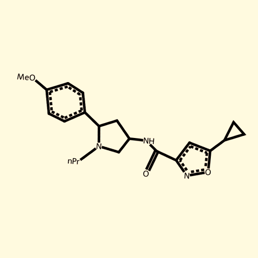 CCCN1CC(NC(=O)c2cc(C3CC3)on2)CC1c1ccc(OC)cc1